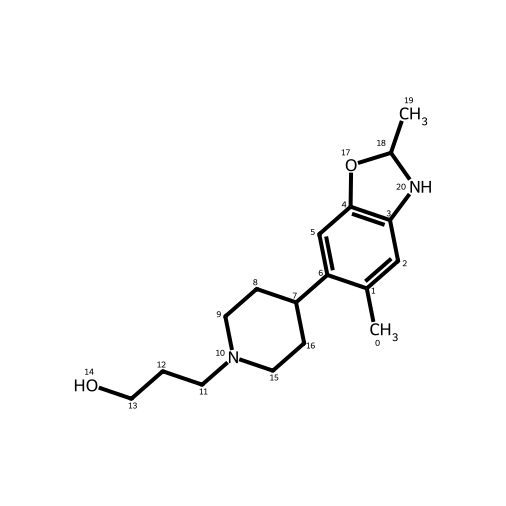 Cc1cc2c(cc1C1CCN(CCCO)CC1)OC(C)N2